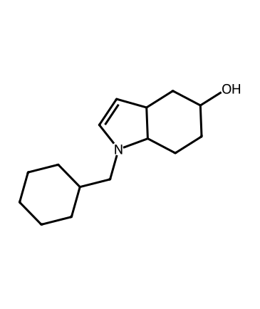 OC1CCC2C(C=CN2CC2CCCCC2)C1